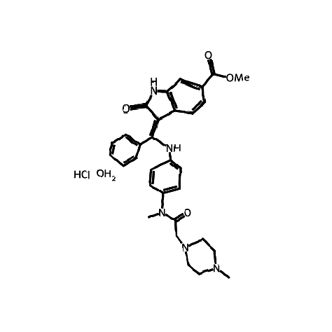 COC(=O)c1ccc2c(c1)NC(=O)C2=C(Nc1ccc(N(C)C(=O)CN2CCN(C)CC2)cc1)c1ccccc1.Cl.O